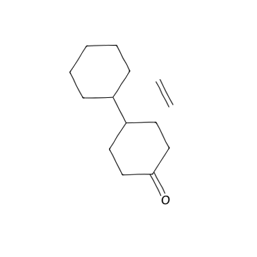 C=C.O=C1CCC(C2CCCCC2)CC1